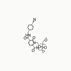 COCC(C)(C)S(=O)(=O)C1(CN2CCn3c(ccc(C(=O)NCc4ccc(C#N)cc4)c3=O)C2=O)CC1